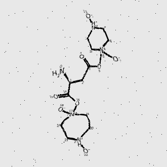 N[C@@H](CC(=O)O[N+]1([O-])CC[NH+]([O-])CC1)C(=O)O[N+]1([O-])CC[NH+]([O-])CC1